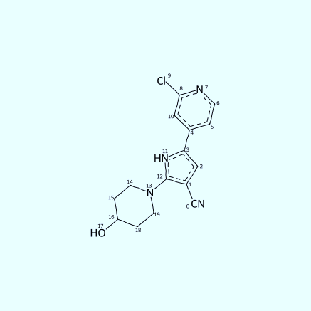 N#Cc1cc(-c2ccnc(Cl)c2)[nH]c1N1CCC(O)CC1